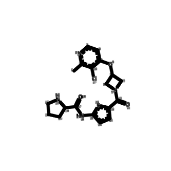 Cc1nccc(OC2CN(C(=O)c3ccc(NC(=O)C4CCCN4)s3)C2)c1Cl